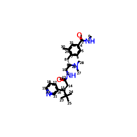 CNC(=O)c1ccc(C[C@@H](CNC(=O)C[C@H](c2cccnc2)C(C)(C)C)N(C)C)c(C)c1